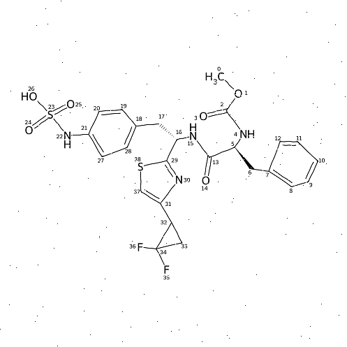 COC(=O)N[C@@H](Cc1ccccc1)C(=O)N[C@@H](Cc1ccc(NS(=O)(=O)O)cc1)c1nc(C2CC2(F)F)cs1